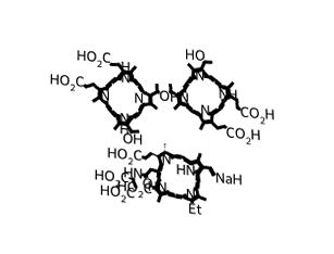 C=Cc1c(C)c2cc3nc(c(CC(=O)N[C@@H](CC(=O)O)C(=O)O)c4[nH]c(cc5nc(cc1[nH]2)C(C)=C5CC)c(C)c4C(=O)O)[C@@H](CCC(=O)O)[C@@H]3C.CC1=C(CCC(=O)O)c2cc3[nH]c(cc4nc(cc5[nH]c(cc1n2)c(C)c5C(C)OC(C)C1=C(C)c2cc5[nH]c(cc6nc(cc7[nH]c(cc1n2)c(C)c7CCC(=O)O)C(CCC(=O)O)=C6C)c(C)c5C(C)O)C(C)=C4C(C)O)c(C)c3CCC(=O)O.[NaH]